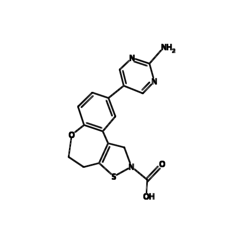 Nc1ncc(-c2ccc3c(c2)C2=C(CCO3)SN(C(=O)O)C2)cn1